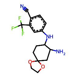 N#Cc1ccc(NC2CCC3(CC2N)OCCO3)cc1C(F)(F)F